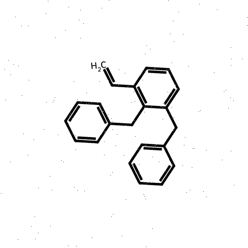 C=Cc1cccc(Cc2ccccc2)c1Cc1ccccc1